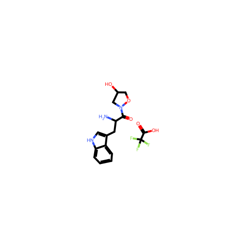 NC(Cc1c[nH]c2ccccc12)C(=O)N1CC(O)CO1.O=C(O)C(F)(F)F